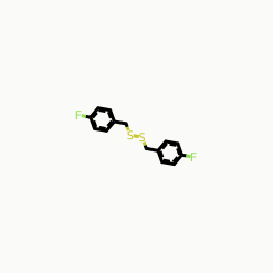 Fc1ccc(CSSCc2ccc(F)cc2)cc1